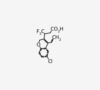 C=CC1=C(C(CC(=O)O)C(F)(F)F)COc2ccc(Cl)cc21